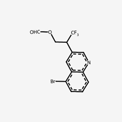 O=COCC(c1cnc2cccc(Br)c2c1)C(F)(F)F